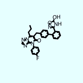 CCCc1c(Cc2ccc(-c3ccccc3C3=NOC(O)N3)cc2)c(=O)n(-c2ccc(F)cc2)c2ncnn12